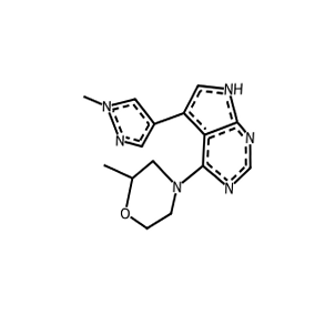 CC1CN(c2ncnc3[nH]cc(-c4cnn(C)c4)c23)CCO1